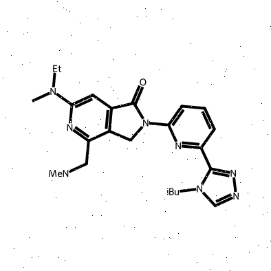 CCC(C)n1cnnc1-c1cccc(N2Cc3c(cc(N(C)CC)nc3CNC)C2=O)n1